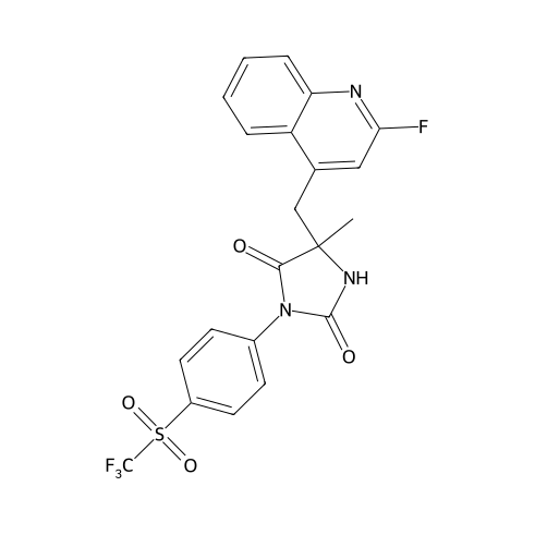 CC1(Cc2cc(F)nc3ccccc23)NC(=O)N(c2ccc(S(=O)(=O)C(F)(F)F)cc2)C1=O